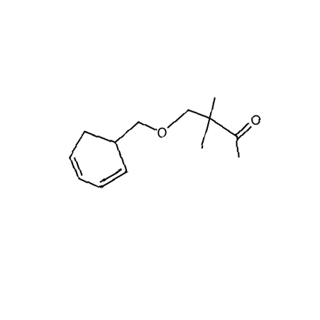 CC(=O)C(C)(C)COCC1C=CC=CC1